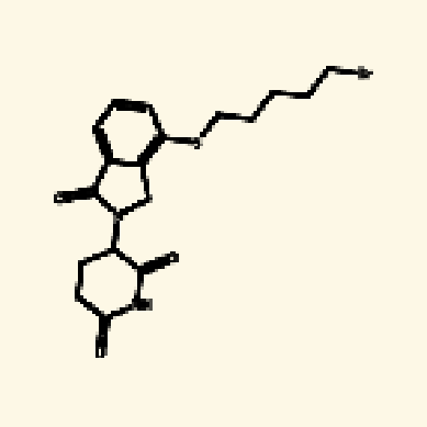 O=C1CCC(N2Cc3c(SCCCCCBr)cccc3C2=O)C(=O)N1